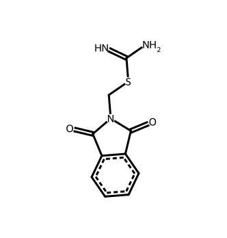 N=C(N)SCN1C(=O)c2ccccc2C1=O